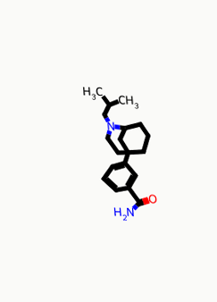 CC(C)CN1CCC2(c3cccc(C(N)=O)c3)CCCC1C2